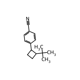 CC(C)(C)C1CC[C]1c1ccc(C#N)cc1